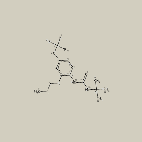 CCCCc1cc(OC(F)(F)F)ccc1NC(=O)NC(C)(C)C